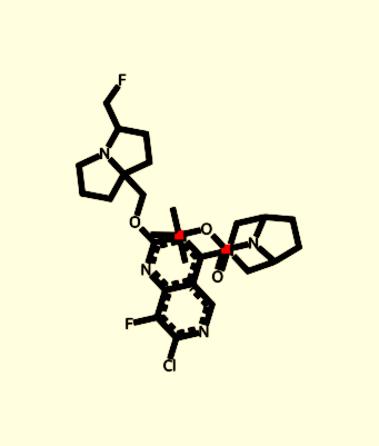 CC(C)(C)OC(=O)N1C2CCC1CN(c1nc(OCC34CCCN3C(CF)CC4)nc3c(F)c(Cl)ncc13)C2